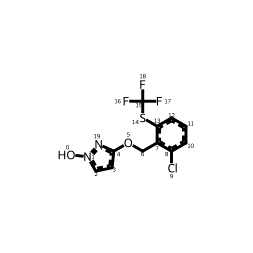 On1ccc(OCc2c(Cl)cccc2SC(F)(F)F)n1